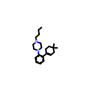 CCCCN1CCN(c2ccccc2C2=CCC(C)(C)CC2)CC1